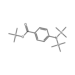 C[Si](C)(C)OC(=O)c1ccc(N([Si](C)(C)C)[Si](C)(C)C)cc1